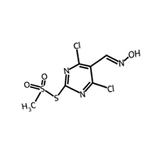 CS(=O)(=O)Sc1nc(Cl)c(C=NO)c(Cl)n1